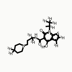 [2H]Oc1c(C(=O)NC([2H])([2H])CCN2CCC([2H])([2H])CC2)c(=O)n(C([2H])(C)C([2H])([2H])[2H])c2sc([2H])c([2H])c12